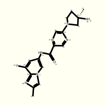 Cc1cn2cc(NC(=O)c3cnc(N4CC[C@@](C)(N)C4)cn3)cc(F)c2n1